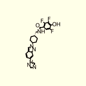 O=C(NC[C@H]1CC[C@H](n2cc3ccc(-n4cncn4)cc3n2)CC1)c1cc(F)c(O)c(F)c1F